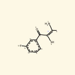 C/C(N)=C(\S)C(=O)c1cccc(F)c1